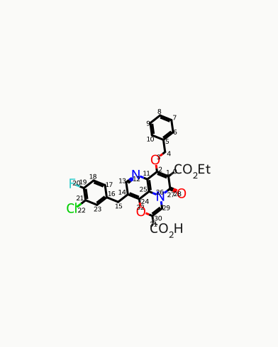 CCOC(=O)c1c(OCc2ccccc2)c2ncc(Cc3ccc(F)c(Cl)c3)c3c2n(c1=O)C=C(C(=O)O)O3